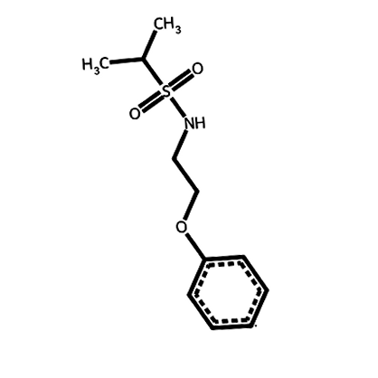 CC(C)S(=O)(=O)NCCOc1cc[c]cc1